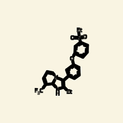 CCC1=C(c2cccc(Oc3cccc(S(=O)(=O)CC)c3)c2)N2C=CC=C(C(F)(F)F)C2N1